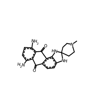 CN1CCC2(CC1)Nc1ccc3c(c1N2)C(=O)c1c(N)ccc(N)c1C3=O